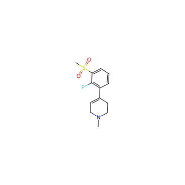 CN1CC=C(c2cccc(S(C)(=O)=O)c2F)CC1